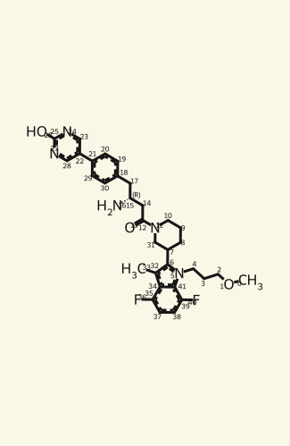 COCCCn1c(C2CCCN(C(=O)C[C@H](N)Cc3ccc(-c4cnc(O)nc4)cc3)C2)c(C)c2c(F)ccc(F)c21